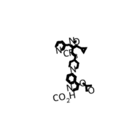 O=C(O)c1cc(OC2COC2)c2cc(N3CCC(/C=C/c4c(-c5cccnc5C(F)(F)F)noc4C4CC4)CC3)ccc2n1